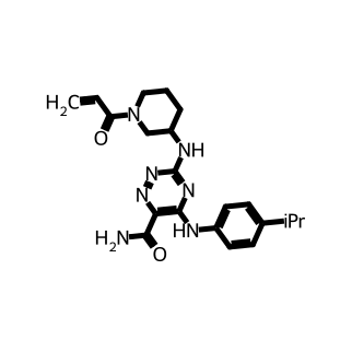 C=CC(=O)N1CCCC(Nc2nnc(C(N)=O)c(Nc3ccc(C(C)C)cc3)n2)C1